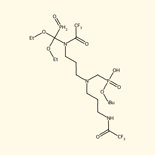 CCOC(OCC)([PH2]=O)N(CCCN(CCCNC(=O)C(F)(F)F)CP(=O)(O)OC(C)CC)C(=O)C(F)(F)F